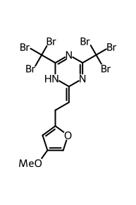 COc1coc(C/C=C2/N=C(C(Br)(Br)Br)N=C(C(Br)(Br)Br)N2)c1